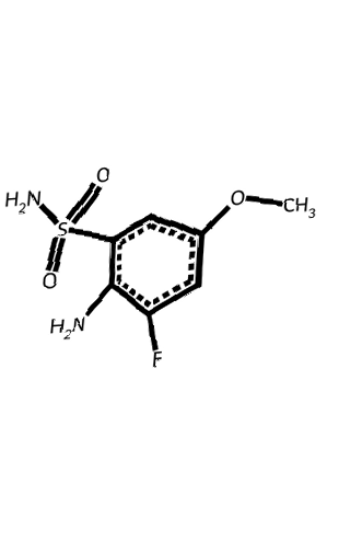 COc1cc(F)c(N)c(S(N)(=O)=O)c1